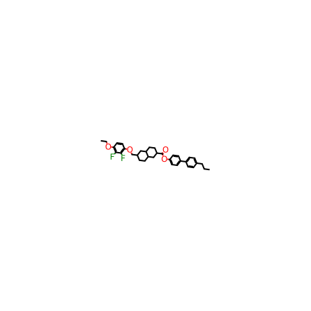 CCCc1ccc(-c2ccc(OC(=O)C3CCC4CC(COc5ccc(OCC)c(F)c5F)CCC4C3)cc2)cc1